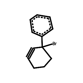 BrC1(c2ccccc2)C#CCCC1